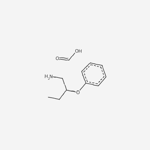 CCC(CN)Oc1ccccc1.O=CO